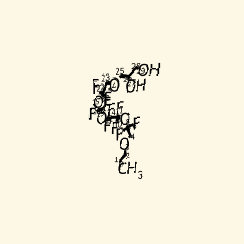 CCCOCC(F)(F)OC(F)(F)C(F)(F)OC(F)(F)OC(F)(F)COCC(O)CO